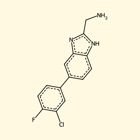 NCc1nc2cc(-c3ccc(F)c(Cl)c3)ccc2[nH]1